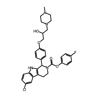 CN1CCN(CC(O)COc2ccc(C3c4[nH]c5ccc(Cl)cc5c4CCN3C(=O)Oc3ccc(F)cc3)cc2)CC1